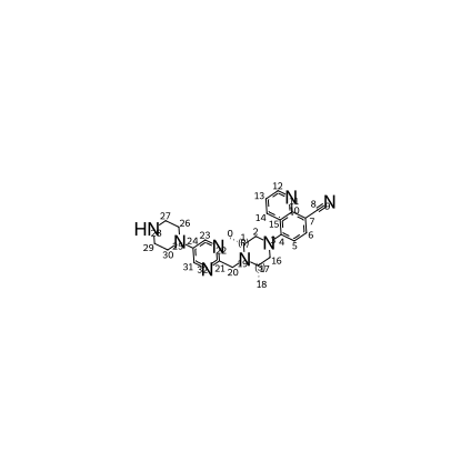 C[C@@H]1CN(c2ccc(C#N)c3ncccc23)C[C@H](C)N1Cc1ncc(N2CCNCC2)cn1